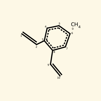 C.C=Cc1ccccc1C=C